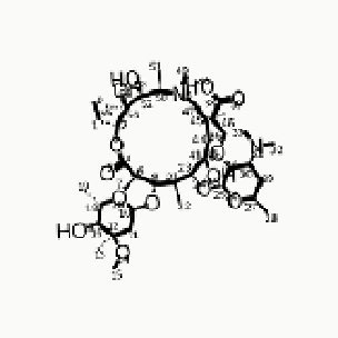 CC[C@H]1OC(=O)[C@H](C)[C@@H](O[C@H]2C[C@@](C)(OC)[C@@H](O)[C@H](C)O2)[C@H](C)[C@@H](O[C@@H]2O[C@H](C)C[C@H](N(C)C)[C@H]2OCCC(=O)O)[C@](C)(O)C[C@@H](C)CN(C)[C@H](C)[C@@H](O)[C@]1(C)O